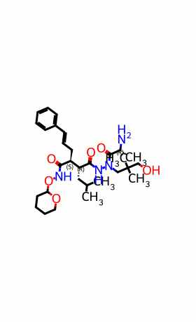 CC(C)C[C@@H](C(=O)NN(CC(C)(C)CO)C(=O)[C@@H](C)N)[C@H](CC=Cc1ccccc1)C(=O)NOC1CCCCO1